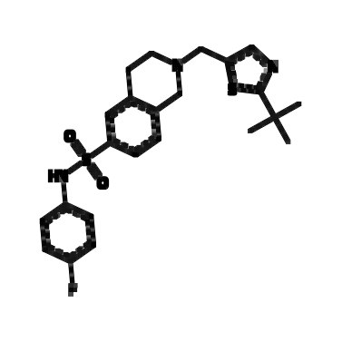 CC(C)(C)c1ncc(CN2CCc3cc(S(=O)(=O)Nc4ccc(F)cc4)ccc3C2)s1